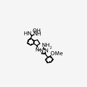 COc1ccccc1-c1cn(N=C2CCc3c(C(=N)NO)cccc32)c(N)n1